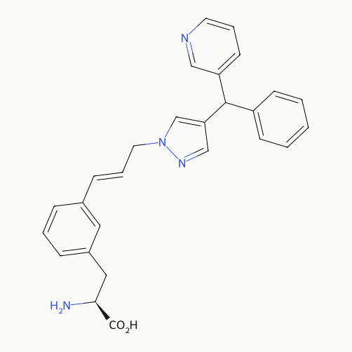 N[C@@H](Cc1cccc(C=CCn2cc(C(c3ccccc3)c3cccnc3)cn2)c1)C(=O)O